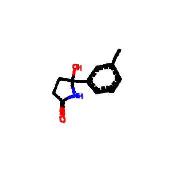 Cc1cccc(C2(O)CCC(=O)N2)c1